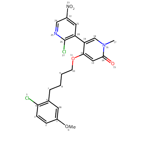 COc1ccc(Cl)c(CCCCOc2cc(=O)n(C)cc2-c2cc([N+](=O)[O-])cnc2Cl)c1